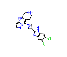 Clc1cc2nc(C3CN(c4c5c(nc6ccnn46)CCNCC5)C3)[nH]c2cc1Cl